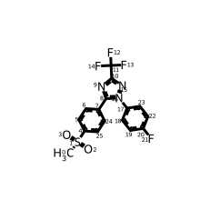 CS(=O)(=O)c1ccc(-c2nc(C(F)(F)F)nn2-c2ccc(F)cc2)cc1